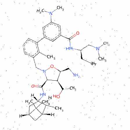 Cc1c(CN2O[C@@H](CN)[C@@H]([C@H](C)O)[C@H]2C(=O)N[C@H]2C[C@H]3C[C@@H]([C@@H]2C)C3(C)C)cccc1-c1cc(C(=O)N[C@H](CC(C)C)CN(C)C)cc(N(C)C)c1